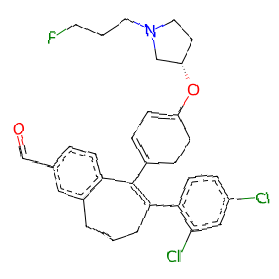 O=Cc1ccc2c(c1)CCCC(c1ccc(Cl)cc1Cl)=C2C1=CC=C(O[C@H]2CCN(CCCF)C2)CC1